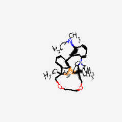 CN(C)c1cccc(N(C)C)c1-c1cccc2c1P1C(C)(C)COCCOCC21C